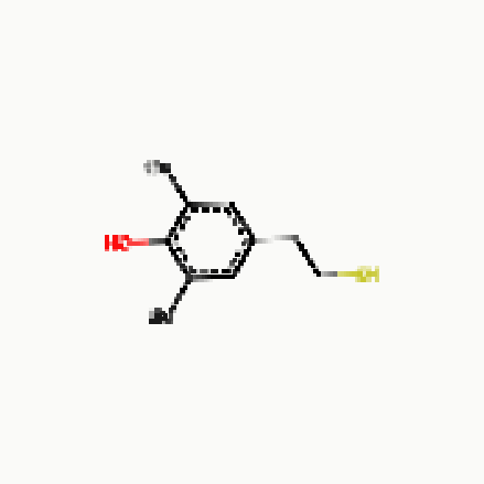 CC(C)(C)c1cc(CCS)cc(C(C)(C)C)c1O